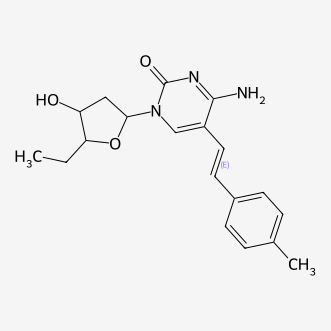 CCC1OC(n2cc(/C=C/c3ccc(C)cc3)c(N)nc2=O)CC1O